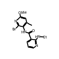 CCNc1ncccc1C(=O)Nc1c(C)cc(OC)nc1Br